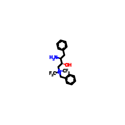 N[C@@H](Cc1ccccc1)[C@H](O)C[N+](Cc1ccccc1)(C(F)(F)F)C(F)(F)F